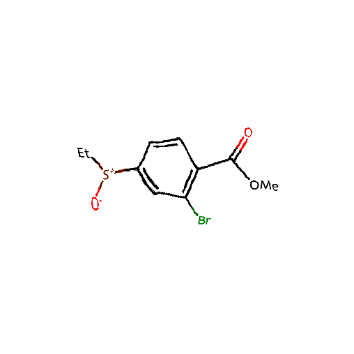 CC[S+]([O-])c1ccc(C(=O)OC)c(Br)c1